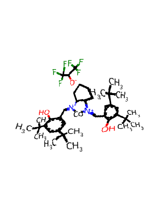 CC(C)(C)c1cc(C=[N+]2[Co][N+](=Cc3cc(C(C)(C)C)cc(C(C)(C)C)c3O)C3CCCCC32)c(O)c(C(C)(C)C)c1.[O-]C(C(F)(F)F)C(F)(F)F